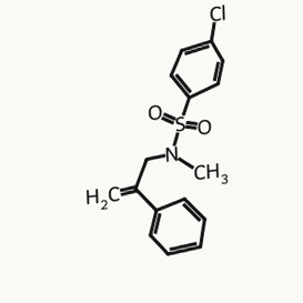 C=C(CN(C)S(=O)(=O)c1ccc(Cl)cc1)c1ccccc1